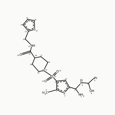 Cc1sc(C(N)NC(O)C(C)C)cc1S(=O)(=O)N1CCC(C(=O)NCc2cccs2)CC1